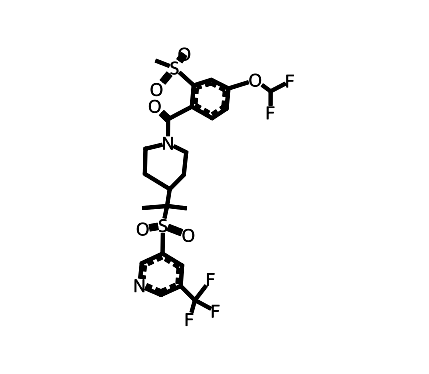 CC(C)(C1CCN(C(=O)c2ccc(OC(F)F)cc2S(C)(=O)=O)CC1)S(=O)(=O)c1cncc(C(F)(F)F)c1